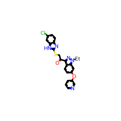 CCn1nc(C(=O)CSc2nc3ccc(Cl)cc3[nH]2)c2ccc(Oc3cccnc3)cc21